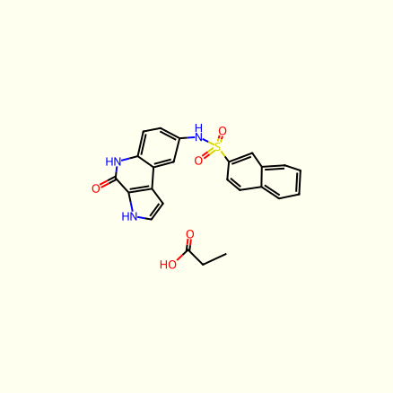 CCC(=O)O.O=c1[nH]c2ccc(NS(=O)(=O)c3ccc4ccccc4c3)cc2c2cc[nH]c12